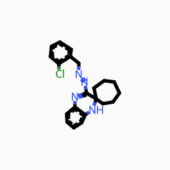 Clc1ccccc1CN=NC1=Nc2ccccc2NC12CCCCCC2